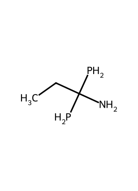 CCC(N)(P)P